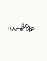 COCCCC(=O)NCC1CCCC(CN2C(=O)C=CC2=O)C1